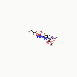 CCCCOC(=O)Nc1nc(C(=NOC)C(=O)OC)cs1